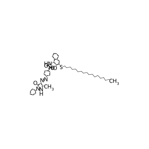 CCCCCCCCCCCCCCCCCCSc1cc2ccccc2c(NS(=O)(=O)c2ccc(N=Nc3c(C)[nH]n(-c4ccccc4)c3=O)cc2)c1O